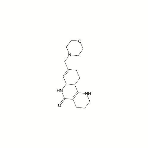 O=C1NC2C=C(CN3CCOCC3)CCC2C2=C1CCCN2